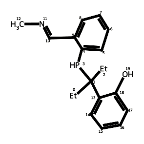 CCC(CC)(Pc1ccccc1/C=N/C)c1ccccc1O